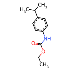 CCOC(=O)Nc1ccc(C(C)C)cc1